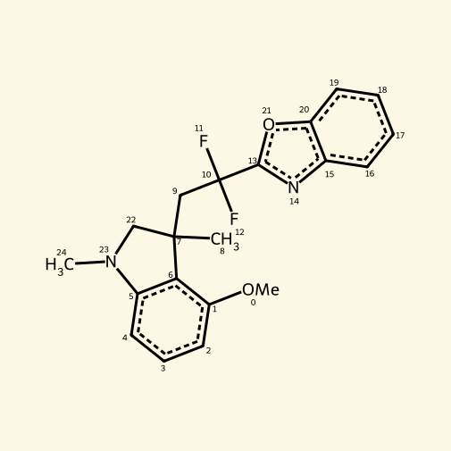 COc1cccc2c1C(C)(CC(F)(F)c1nc3ccccc3o1)CN2C